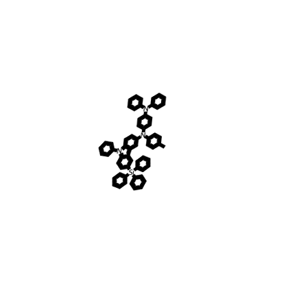 Cc1ccc(N(c2ccc(N(c3ccccc3)c3ccccc3)cc2)c2ccc3c(c2)c2cc([Si](c4ccccc4)(c4ccccc4)c4ccccc4)ccc2n3-c2ccccc2)cc1